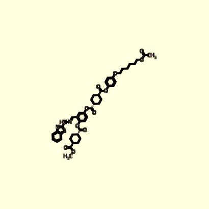 COC(=O)[C@H]1CC[C@H](C(=O)Oc2ccc(OC(=O)[C@H]3CC[C@H](C(=O)Oc4ccc(OCCCCCCOC(C)=O)cc4)CC3)cc2/C=N/Nc2nc3ccccc3s2)CC1